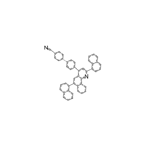 N#Cc1ccc(-c2ccc(-c3cc(-c4cccc5ccccc45)nc4c3cc(-c3cccc5ccccc35)c3ccccc34)cc2)cc1